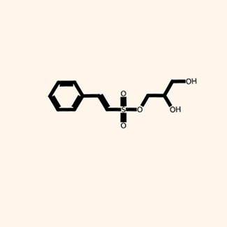 O=S(=O)(C=Cc1ccccc1)OCC(O)CO